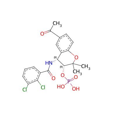 CC(=O)c1ccc2c(c1)[C@@H](NC(=O)c1cccc(Cl)c1Cl)[C@@H](OP(=O)(O)O)C(C)(C)O2